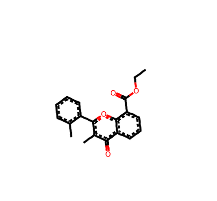 CCOC(=O)c1cccc2c(=O)c(C)c(-c3ccccc3C)oc12